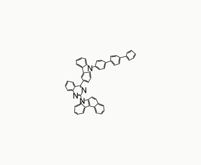 c1ccc(-c2ccc(-c3ccc(-n4c5ccccc5c5cc(-c6nc(-n7c8ccccc8c8c9ccccc9ccc87)nc7ccccc67)ccc54)cc3)cc2)cc1